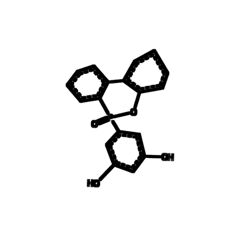 O=P1(c2cc(O)cc(O)c2)Oc2ccccc2-c2ccccc21